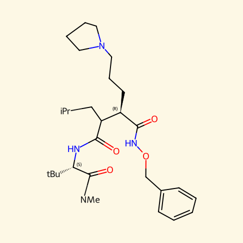 CNC(=O)[C@@H](NC(=O)C(CC(C)C)[C@@H](CCCN1CCCC1)C(=O)NOCc1ccccc1)C(C)(C)C